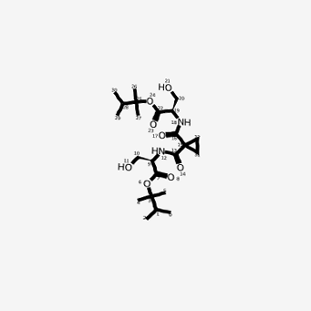 CC(C)C(C)(C)OC(=O)[C@@H](CO)NC(=O)C1(C(=O)N[C@H](CO)C(=O)OC(C)(C)C(C)C)CC1